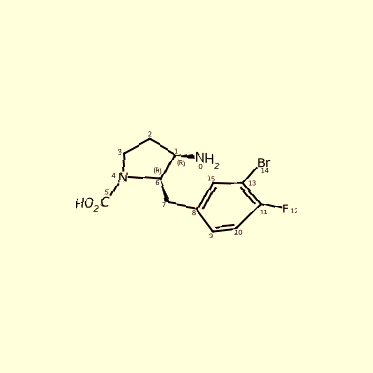 N[C@@H]1CCN(C(=O)O)[C@@H]1Cc1ccc(F)c(Br)c1